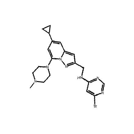 CN1CCN(c2cc(C3CC3)cc3cc(CNc4cc(Br)ncn4)nn23)CC1